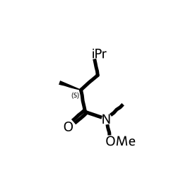 CON(C)C(=O)[C@@H](C)CC(C)C